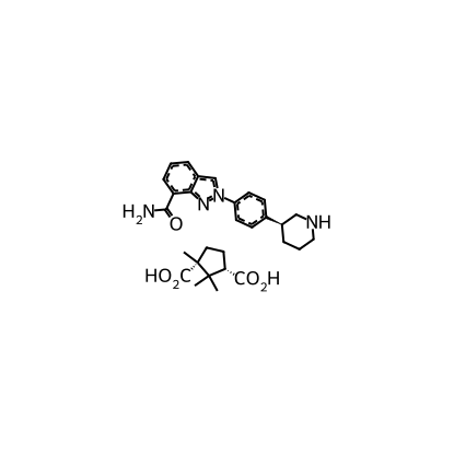 CC1(C)[C@@H](C(=O)O)CC[C@@]1(C)C(=O)O.NC(=O)c1cccc2cn(-c3ccc([C@@H]4CCCNC4)cc3)nc12